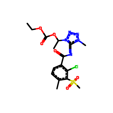 CCOC(=O)OC(C)n1nnn(C)/c1=N/C(=O)c1ccc(C)c(S(C)(=O)=O)c1Cl